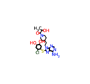 C[C@H](O)C(=O)N1CCC(CCn2c(Sc3cc(O)c(O)cc3Cl)nc3c(N)ncnc32)CC1